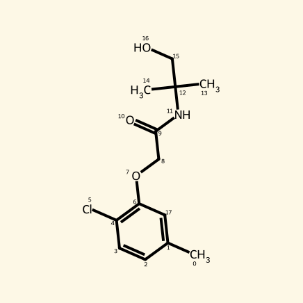 Cc1ccc(Cl)c(OCC(=O)NC(C)(C)CO)c1